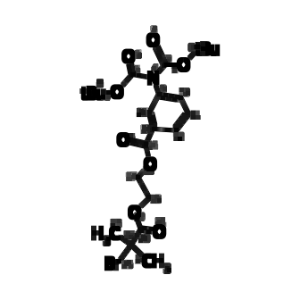 CC(C)(C)OC(=O)N(C(=O)OC(C)(C)C)c1cccc(C(=O)OCCOC(=O)C(C)(C)Br)c1